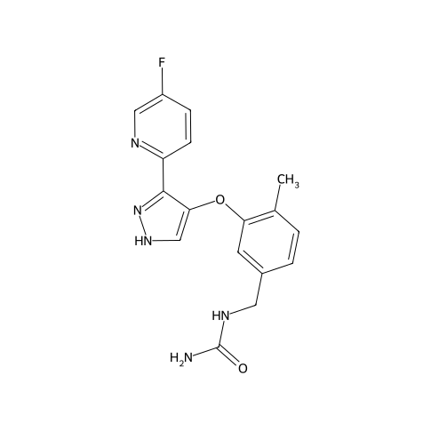 Cc1ccc(CNC(N)=O)cc1Oc1c[nH]nc1-c1ccc(F)cn1